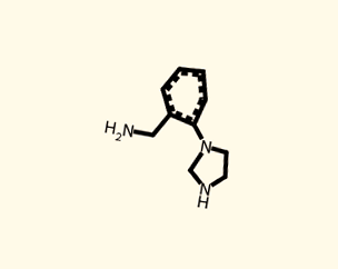 NCc1ccccc1N1CCNC1